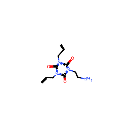 C=CCn1c(=O)n(CC=C)c(=O)n(CCN)c1=O